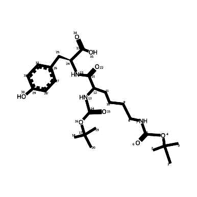 CC(C)(C)OC(=O)NCCCCC(NC(=O)OC(C)(C)C)C(=O)N[C@@H](Cc1ccc(O)cc1)C(=O)O